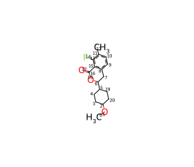 COC1CCC(C2Cc3ccc(C)c(F)c3C(=O)O2)CC1